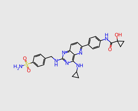 NS(=O)(=O)c1ccc(CNc2nc(NC3CC3)c3nc(-c4ccc(NC(=O)C5(O)CC5)cc4)ccc3n2)cc1